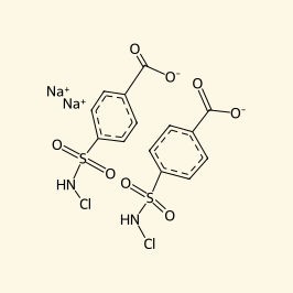 O=C([O-])c1ccc(S(=O)(=O)NCl)cc1.O=C([O-])c1ccc(S(=O)(=O)NCl)cc1.[Na+].[Na+]